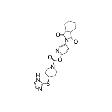 O=C(Oc1ccc(N2C(=O)C3CCCCC3C2=O)cn1)N1CCC(Sc2ncc[nH]2)CC1